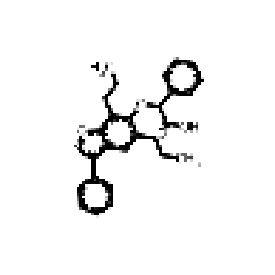 CCCc1cc2c(-c3ccccc3)noc2c(CCC)c1OC(C(=O)O)c1ccccc1